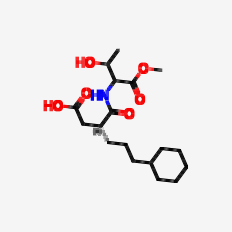 COC(=O)C(NC(=O)[C@H](CCCC1CCCCC1)CC(=O)O)C(C)O